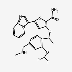 CNCc1ccc(C(C)Oc2cc(-c3cnc4ccccn34)sc2C(N)=O)c(OC(F)F)c1